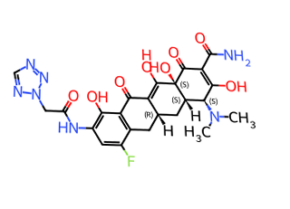 CN(C)[C@@H]1C(O)=C(C(N)=O)C(=O)[C@@]2(O)C(O)=C3C(=O)c4c(O)c(NC(=O)Cn5ncnn5)cc(F)c4C[C@H]3C[C@@H]12